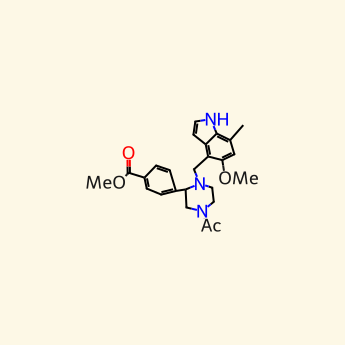 COC(=O)c1ccc(C2CN(C(C)=O)CCN2Cc2c(OC)cc(C)c3[nH]ccc23)cc1